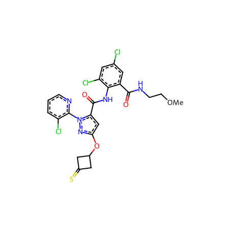 COCCNC(=O)c1cc(Cl)cc(Cl)c1NC(=O)c1cc(OC2CC(=S)C2)nn1-c1ncccc1Cl